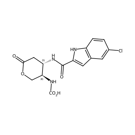 O=C(O)N[C@H]1COC(=O)C[C@@H]1NC(=O)c1cc2cc(Cl)ccc2[nH]1